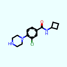 O=C(NC1CCC1)c1ccc(N2CCNCC2)c(Cl)c1